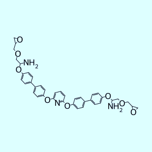 NC(COCC1CO1)Oc1ccc(-c2ccc(Oc3cccc(Oc4ccc(-c5ccc(OC(N)COCC6CO6)cc5)cc4)n3)cc2)cc1